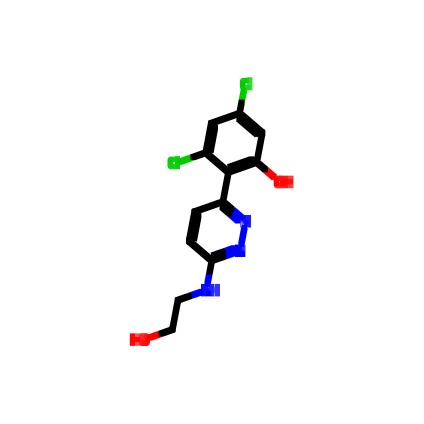 OCCNc1ccc(-c2c(O)cc(Cl)cc2Cl)nn1